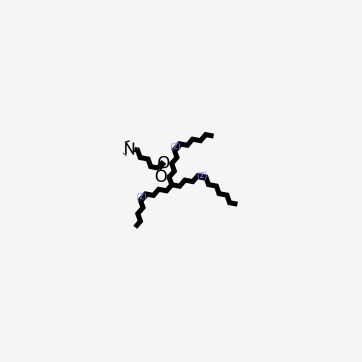 CCCC/C=C\CCCC(CCC/C=C\CCCCCC)C(CCC/C=C\CCCCC)OC(=O)CCCCN(C)C